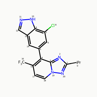 CC(C)c1nc2c(-c3cc(Cl)c4[nH]ncc4c3)c(C(F)(F)F)ccn2n1